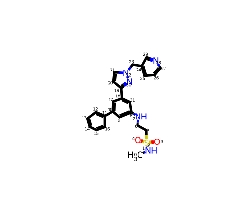 CNS(=O)(=O)CCNc1cc(-c2ccccc2)cc(-c2ccn(Cc3cccnc3)n2)c1